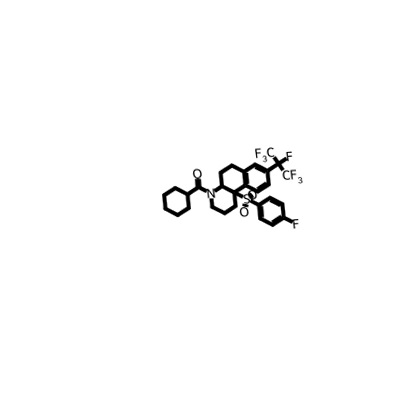 O=C(C1CCCCC1)N1CCCC2(S(=O)(=O)c3ccc(F)cc3)c3ccc(C(F)(C(F)(F)F)C(F)(F)F)cc3CCC12